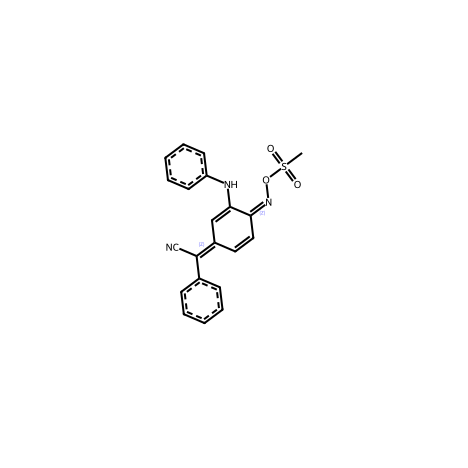 CS(=O)(=O)O/N=C1C=C/C(=C(/C#N)c2ccccc2)C=C/1Nc1ccccc1